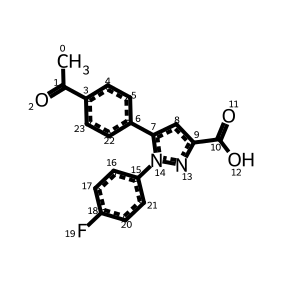 CC(=O)c1ccc(-c2cc(C(=O)O)nn2-c2ccc(F)cc2)cc1